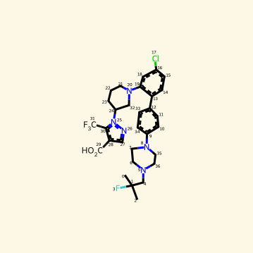 CC(C)(F)CN1CCN(c2ccc(-c3ccc(Cl)cc3N3CCCC(n4ncc(C(=O)O)c4C(F)(F)F)C3)cc2)CC1